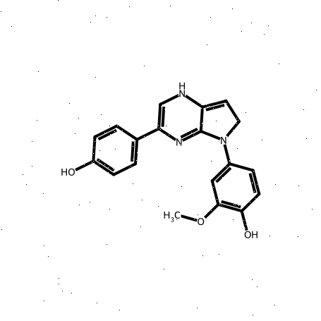 COc1cc(N2CC=C3NC=C(c4ccc(O)cc4)N=C32)ccc1O